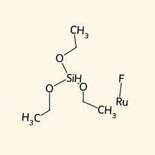 CCO[SiH](OCC)OCC.[F][Ru]